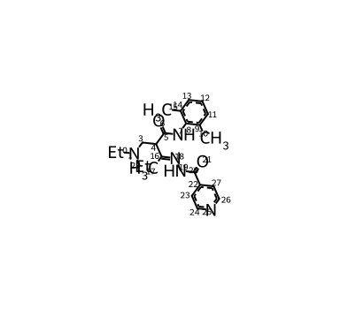 CCN(CC)CC(C(=O)Nc1c(C)cccc1C)C(C)=NNC(=O)c1ccncc1